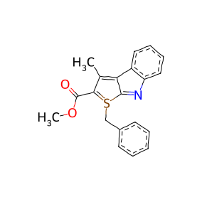 COC(=O)C1=S(Cc2ccccc2)C2=Nc3ccccc3C2=C1C